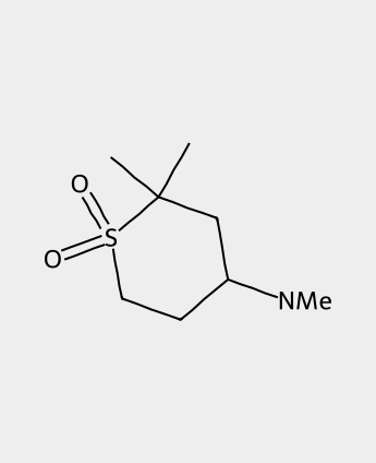 CNC1CCS(=O)(=O)C(C)(C)C1